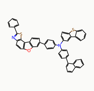 c1ccc(-c2nc3ccc4oc5cc(-c6ccc(N(c7ccc(-c8cccc9ccccc89)cc7)c7ccc8sc9ccccc9c8c7)cc6)ccc5c4c3s2)cc1